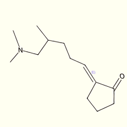 CC(CC/C=C1\CCCC1=O)CN(C)C